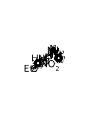 CCOc1ccc(NC(=O)CSc2nnnn2-c2ccccc2C)c([N+](=O)[O-])c1